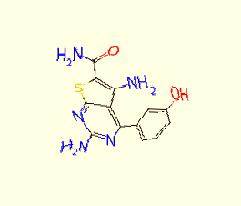 NC(=O)c1sc2nc(N)nc(-c3cccc(O)c3)c2c1N